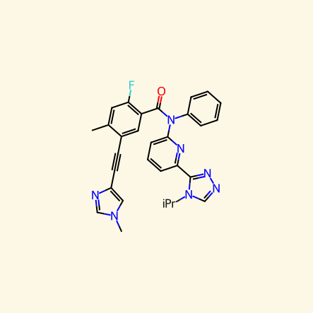 Cc1cc(F)c(C(=O)N(c2ccccc2)c2cccc(-c3nncn3C(C)C)n2)cc1C#Cc1cn(C)cn1